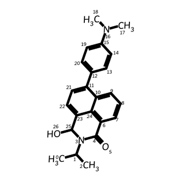 CC(C)N1C(=O)c2cccc3c(-c4ccc(N(C)C)cc4)ccc(c23)C1O